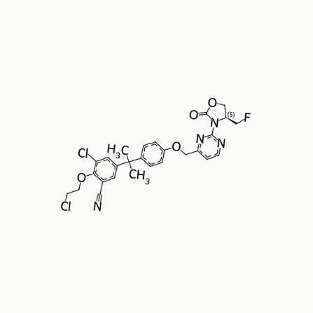 CC(C)(c1ccc(OCc2ccnc(N3C(=O)OC[C@H]3CF)n2)cc1)c1cc(Cl)c(OCCCl)c(C#N)c1